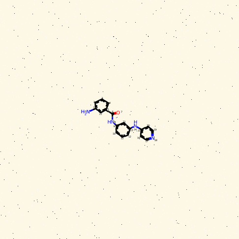 Nc1cccc(C(=O)Nc2cccc(Nc3ccncc3)c2)c1